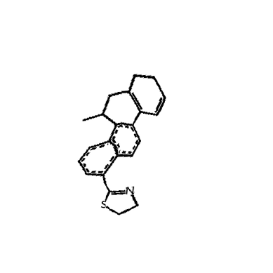 CC1CC2=C(C=CCC2)c2ccc3c(C4=NCCS4)cccc3c21